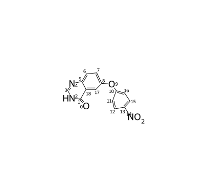 O=c1[nH]cnc2ccc(Oc3ccc([N+](=O)[O-])cc3)cc12